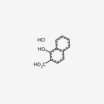 Cl.O=C(O)c1ccc2ccccc2c1O